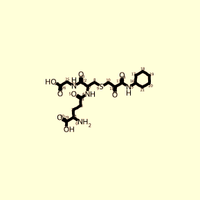 NC(CCC(=O)NC(CSCC(=O)C(=O)NC1CCCCC1)C(=O)NCC(=O)O)C(=O)O